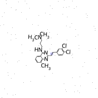 Cc1cccc2c(NCCCN(C)C)nc(/C=C/c3ccc(Cl)c(Cl)c3)nc12